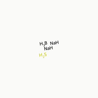 B.S.[NaH].[NaH]